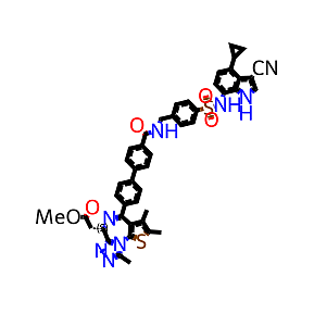 COC(=O)C[C@@H]1N=C(c2ccc(-c3ccc(C(=O)NCc4ccc(S(=O)(=O)Nc5ccc(C6CC6)c6c(C#N)c[nH]c56)cc4)cc3)cc2)c2c(sc(C)c2C)-n2c(C)nnc21